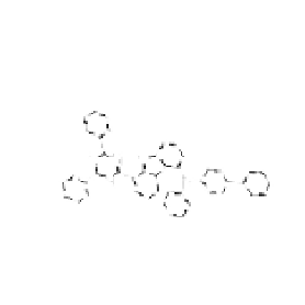 c1ccc(-c2ccc(N(c3ccccc3)c3cccc4oc5c(-c6nc(-c7ccccc7)nc(-c7ccccc7)n6)cccc5c34)cc2)cc1